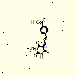 CN(C)c1ccc(/C=C/C=C2/C(=O)NC(=O)N(N)C2=O)cc1